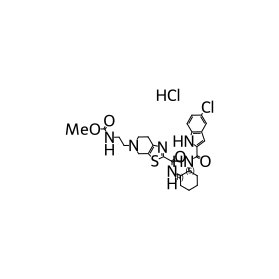 COC(=O)NCCN1CCc2nc(C(=O)N[C@@H]3CCCC[C@@H]3NC(=O)c3cc4cc(Cl)ccc4[nH]3)sc2C1.Cl